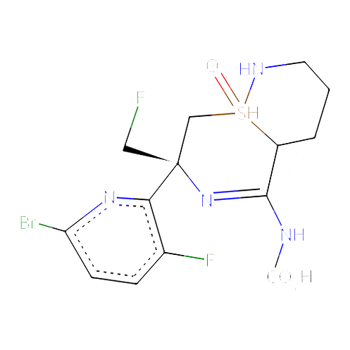 C[C@@]12CCCN[SH]1(=O)C[C@@](CF)(c1nc(Br)ccc1F)N=C2NC(=O)O